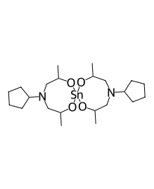 CC1CN(C2CCCC2)CC(C)[O][Sn]2([O]1)[O]C(C)CN(C1CCCC1)CC(C)[O]2